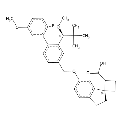 COc1ccc(F)c(-c2ccc(COc3ccc4c(c3)[C@@]3(CC4)CCC3C(=O)O)cc2[C@@H](OC)C(C)(C)C)c1